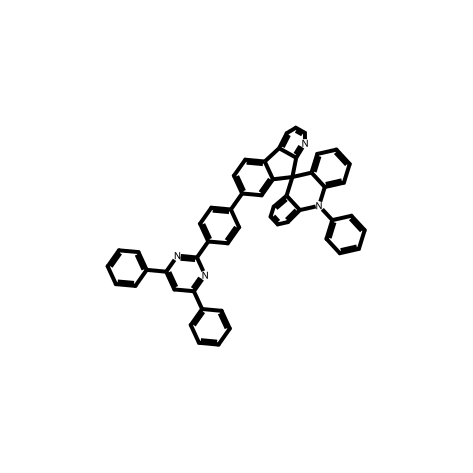 c1ccc(-c2cc(-c3ccccc3)nc(-c3ccc(-c4ccc5c(c4)C4(c6ccccc6N(c6ccccc6)c6ccccc64)c4ncccc4-5)cc3)n2)cc1